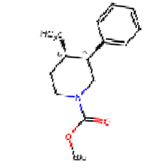 CC(C)(C)OC(=O)N1CC[C@@H](C(=O)O)[C@@H](c2ccccc2)C1